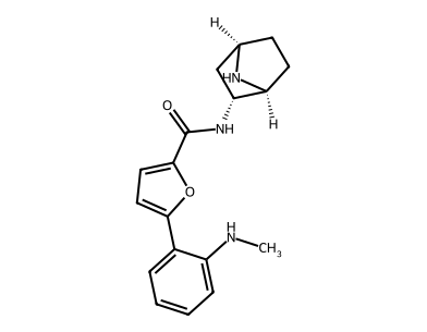 CNc1ccccc1-c1ccc(C(=O)N[C@@H]2C[C@H]3CC[C@@H]2N3)o1